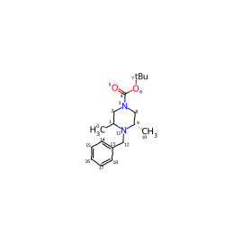 CC1CN(C(=O)OC(C)(C)C)C[C@H](C)N1Cc1ccccc1